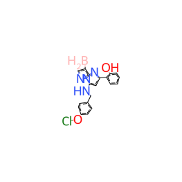 Bc1cnn2c(NCc3ccc(OCl)cc3)cc(-c3ccccc3O)nc12